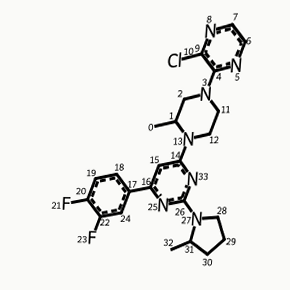 CC1CN(c2nccnc2Cl)CCN1c1cc(-c2ccc(F)c(F)c2)nc(N2CCCC2C)n1